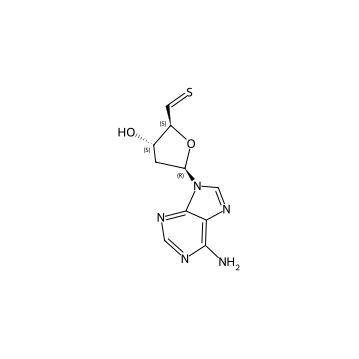 Nc1ncnc2c1ncn2[C@H]1C[C@H](O)[C@@H](C=S)O1